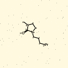 CC(C)CCCN1CCN(C)C1=O